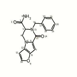 NC(=O)C1Cn2c(cc3occc32)C(=O)N1Cc1ccccc1